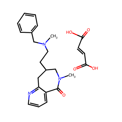 CN(CCC1Cc2ncccc2C(=O)N(C)C1)Cc1ccccc1.O=C(O)C=CC(=O)O